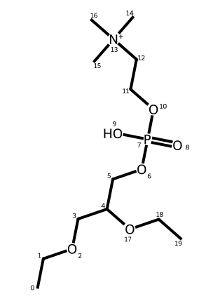 CCOCC(COP(=O)(O)OCC[N+](C)(C)C)OCC